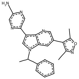 Cc1noc(C)c1-c1cnc2c(-c3cnc(N)cn3)cn(C(C)c3ccccc3)c2c1